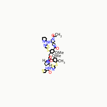 C=CC(=O)N1CCC2(C1)CN(C(=O)c1cc(Sc3cnc(Nc4ccccn4)s3)c(C/C=C/C(=O)N3[C@@H]4CC[C@H]3CN(C(=O)c3cc(Sc5cnc(NC(=O)c6ccsc6)s5)c(C)cc3OC)C4)cc1OC)C2